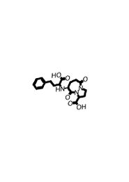 O=C(O)C(CCc1ccccc1)N[C@H]1CCC(=O)N2CCC(C(=O)O)N2C1=O